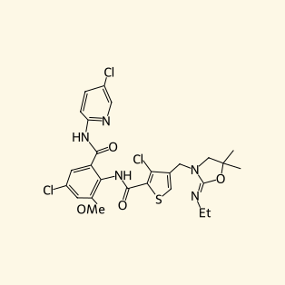 CCN=C1OC(C)(C)CN1Cc1csc(C(=O)Nc2c(OC)cc(Cl)cc2C(=O)Nc2ccc(Cl)cn2)c1Cl